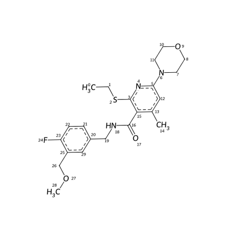 CCSc1nc(N2CCOCC2)cc(C)c1C(=O)NCc1ccc(F)c(COC)c1